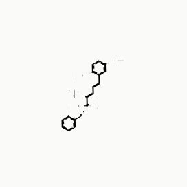 N#C/C(=C\C=C\c1cc(O)ccc1O)C(=O)NCc1ccccc1